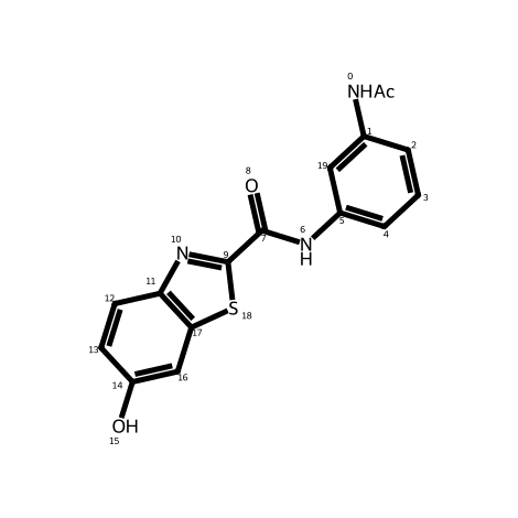 CC(=O)Nc1cccc(NC(=O)c2nc3ccc(O)cc3s2)c1